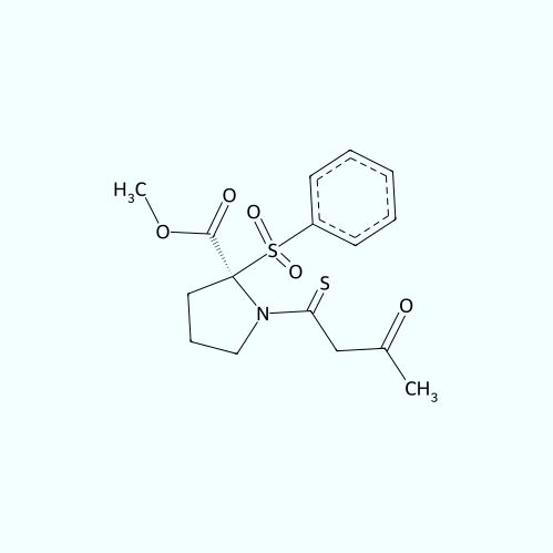 COC(=O)[C@@]1(S(=O)(=O)c2ccccc2)CCCN1C(=S)CC(C)=O